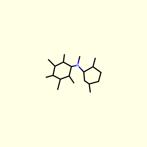 CC1CCC(C)C(N(C)C2C(C)C(C)C(C)C(C)C2C)C1